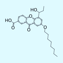 CCCCCCCCOc1cc(C(O)CC)c2oc3ccc(C(=O)O)cc3c(=O)c2c1